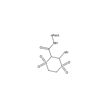 CCCCCNC(=O)C1C(CCC)S(=O)(=O)CCS1(=O)=O